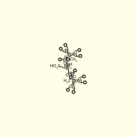 Cc1cc(C(=O)NCCN(CCNC(=O)c2cc(C)n(C(COC(COCc3ccccc3)COCc3ccccc3)COC(COCc3ccccc3)COCc3ccccc3)c(=O)c2OCc2ccccc2)CC(N)CCCC(=O)O)c(OCc2ccccc2)c(=O)n1C(COC(COCc1ccccc1)COCc1ccccc1)COC(COCc1ccccc1)COCc1ccccc1